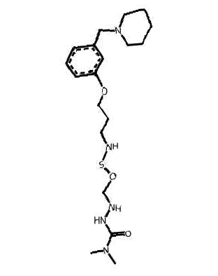 CN(C)C(=O)NNCOSNCCCOc1cccc(CN2CCCCC2)c1